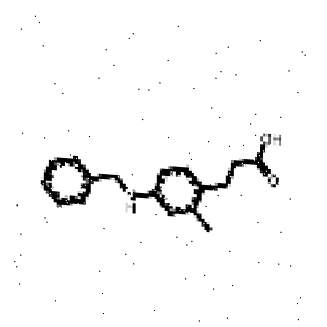 Cc1cc(NCc2ccccc2)ccc1CCC(=O)O